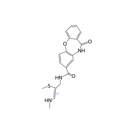 CN/C=C(/CNC(=O)c1ccc2c(c1)NC(=O)c1ccccc1O2)SC